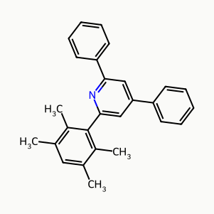 Cc1cc(C)c(C)c(-c2cc(-c3ccccc3)cc(-c3ccccc3)n2)c1C